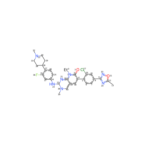 CCn1c(=O)c(-c2ccc(-c3noc(C)n3)cc2Cl)cc2c1=NC(Nc1ccc(C3CCN(C)CC3)c(F)c1)N(C)C=2